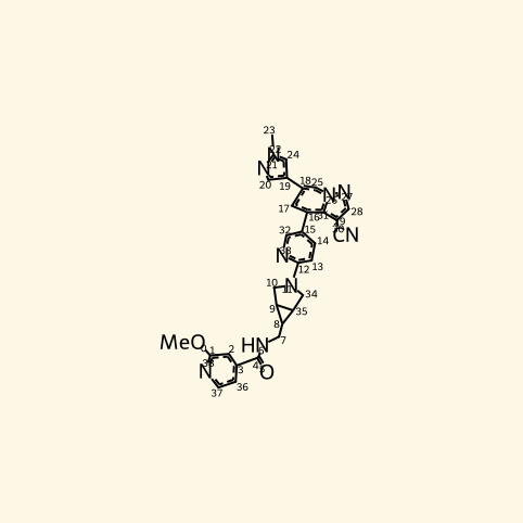 COc1cc(C(=O)NCC2C3CN(c4ccc(-c5cc(-c6cnn(C)c6)cn6ncc(C#N)c56)cn4)CC23)ccn1